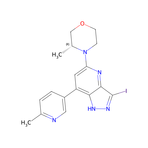 Cc1ccc(-c2cc(N3CCOC[C@H]3C)nc3c(I)n[nH]c23)cn1